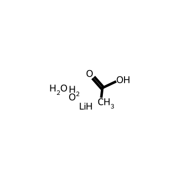 CC(=O)O.O.O.[LiH]